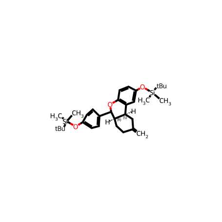 C=C1CC[C@H]2C(c3ccc(O[Si](C)(C)C(C)(C)C)cc3)Oc3ccc(O[Si](C)(C)C(C)(C)C)cc3[C@H]2C1